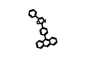 c1ccc(-c2cnc(-c3ccc(-c4c5ccccc5cc5ccccc45)cc3)o2)cc1